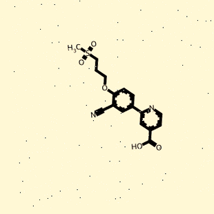 CS(=O)(=O)CCCOc1ccc(-c2cc(C(=O)O)ccn2)cc1C#N